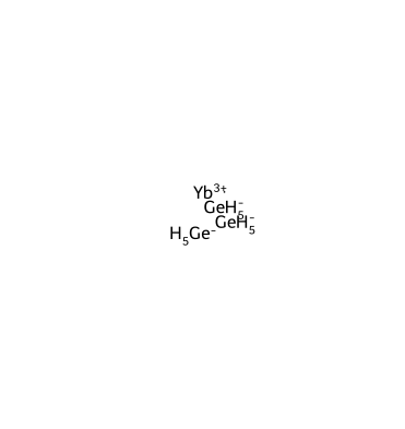 [GeH5-].[GeH5-].[GeH5-].[Yb+3]